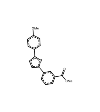 COC(=O)c1cccc(-n2ccc(-c3ccc(OC)cc3)n2)c1